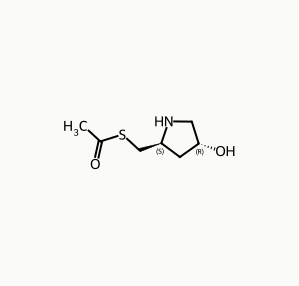 CC(=O)SC[C@@H]1C[C@@H](O)CN1